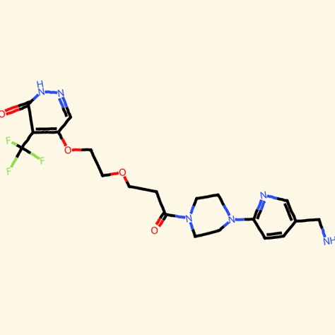 NCc1ccc(N2CCN(C(=O)CCOCCOc3cn[nH]c(=O)c3C(F)(F)F)CC2)nc1